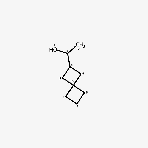 CC(O)C1CC2(CCC2)C1